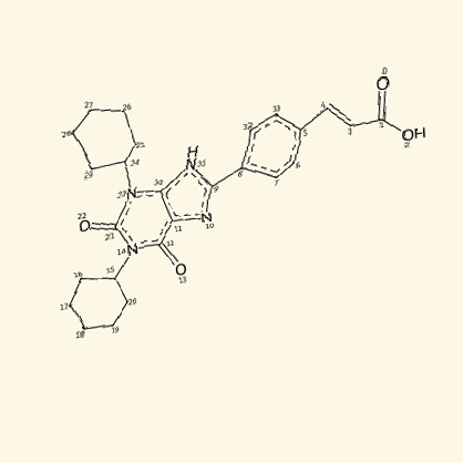 O=C(O)C=Cc1ccc(-c2nc3c(=O)n(C4CCCCC4)c(=O)n(C4CCCCC4)c3[nH]2)cc1